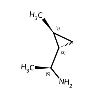 C[C@H](N)[C@H]1C[C@@H]1C